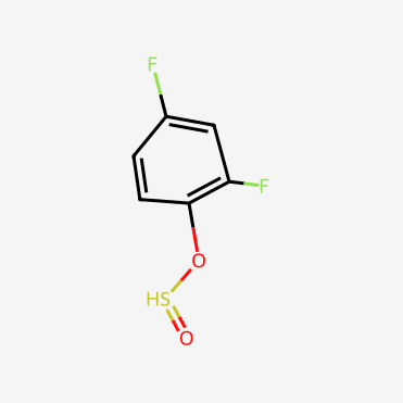 O=[SH]Oc1ccc(F)cc1F